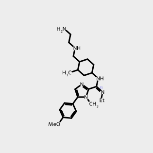 CC/N=C(/NC1CCC(CNCCN)C(C)C1)c1ncc(-c2ccc(OC)cc2)n1C